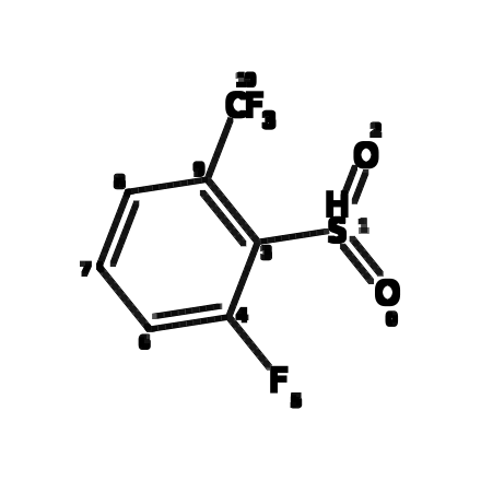 O=[SH](=O)c1c(F)cccc1C(F)(F)F